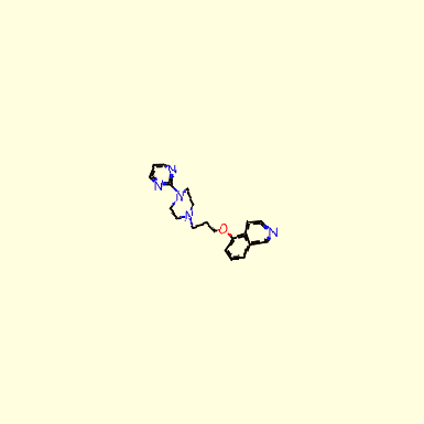 c1cnc(N2CCN(CCCOc3cccc4cnccc34)CC2)nc1